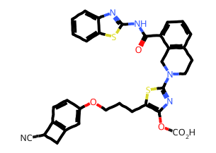 N#CC1Cc2cc(OCCCc3sc(N4CCc5cccc(C(=O)Nc6nc7ccccc7s6)c5C4)nc3OC(=O)O)ccc21